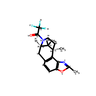 Cc1nc2c3c(ccc2o1)C[C@H]1N(C(=O)C(F)(F)F)CC[C@]3(C)C1(C)C